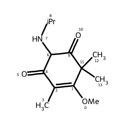 COC1=C(C)C(=O)C(NC(C)C)C(=O)C1(C)C